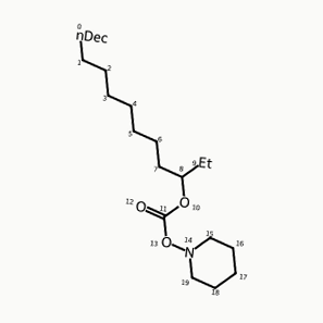 CCCCCCCCCCCCCCCCCC(CC)OC(=O)ON1CCCCC1